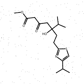 COC(=O)CC(=O)CC(O)(CCc1nc(C(C)C)cs1)C(C)C